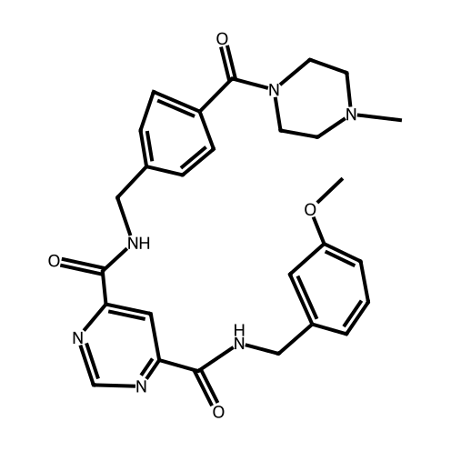 COc1cccc(CNC(=O)c2cc(C(=O)NCc3ccc(C(=O)N4CCN(C)CC4)cc3)ncn2)c1